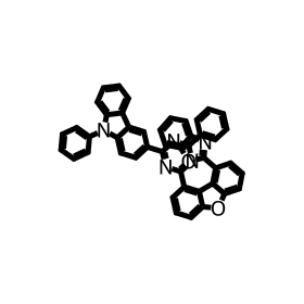 c1ccc(-c2nc(-c3ccc4c(c3)c3ccccc3n4-c3ccccc3)nc(-c3cccc4oc5cccc(-c6nc7ccccc7o6)c5c34)n2)cc1